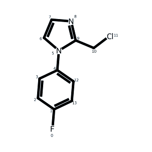 Fc1ccc(-n2ccnc2CCl)cc1